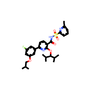 Cc1cccc(S(=O)(=O)NC(=O)c2ccc(-c3cc(F)cc(OCC(C)C)c3)nc2OC(C(C)C)C(C)C)n1